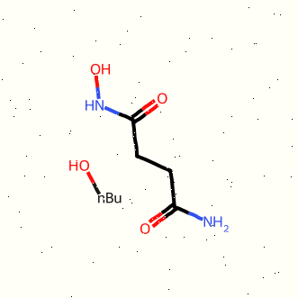 CCCCO.NC(=O)CCC(=O)NO